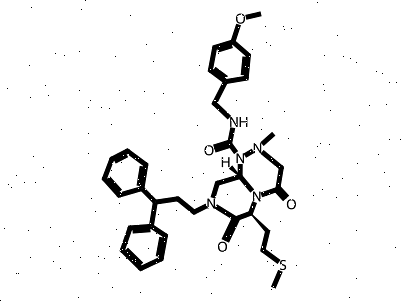 COc1ccc(CNC(=O)N2[C@H]3CN(CCC(c4ccccc4)c4ccccc4)C(=O)[C@H](CCSC)N3C(=O)CN2C)cc1